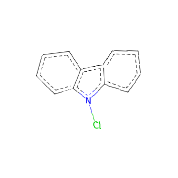 Cln1c2ccccc2c2ccccc21